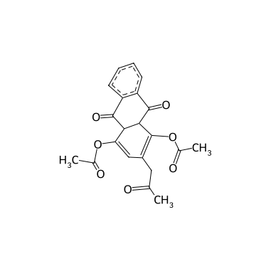 CC(=O)CC1=C(OC(C)=O)C2C(=O)c3ccccc3C(=O)C2C(OC(C)=O)=C1